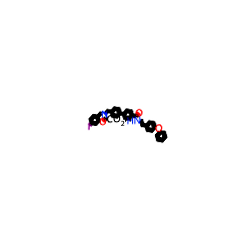 O=C(O)C(=O)N(Cc1ccc(I)cc1)Cc1ccc(-c2ccc(C(=O)NCCc3ccc(Oc4ccccc4)cc3)cc2)cc1